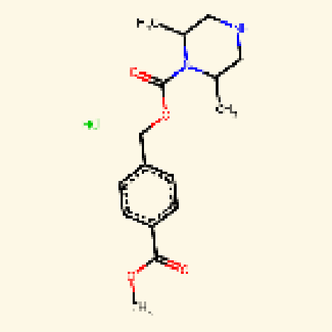 COC(=O)c1ccc(COC(=O)N2C(C)CNCC2C)cc1.Cl